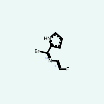 F/C=C/N=C(/Br)c1ccc[nH]1